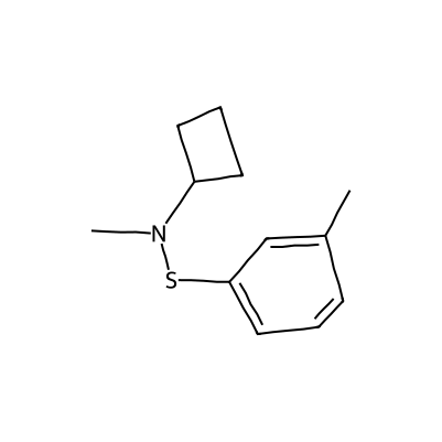 Cc1cccc(SN(C)C2CCC2)c1